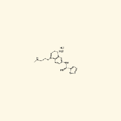 CNCCCN1CCSc2cc(NC(=N)c3cccs3)ccc21.Cl.Cl